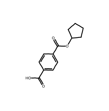 O=C(O)c1ccc(C(=O)OC2CCCC2)cc1